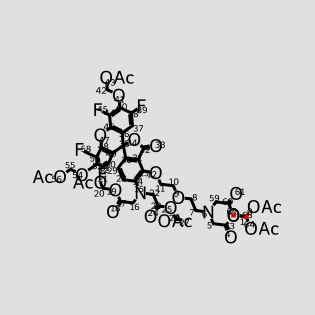 CC(=O)OCOC(=O)CN(CCOCCOc1c(N(CC(=O)OCOC(C)=O)CC(=O)OCOC(C)=O)ccc2c1C(=O)OC21c2cc(F)c(OCOC(C)=O)c(F)c2Oc2c1cc(F)c(OCOC(C)=O)c2F)CC(=O)OCOC(C)=O